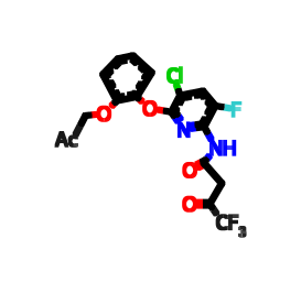 CC(=O)COc1ccccc1Oc1nc(NC(=O)CC(=O)C(F)(F)F)c(F)cc1Cl